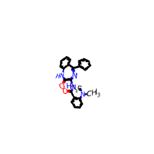 CN(C)c1ccccc1C(=O)NC1N=C(c2ccccc2)c2ccccc2NC1=O